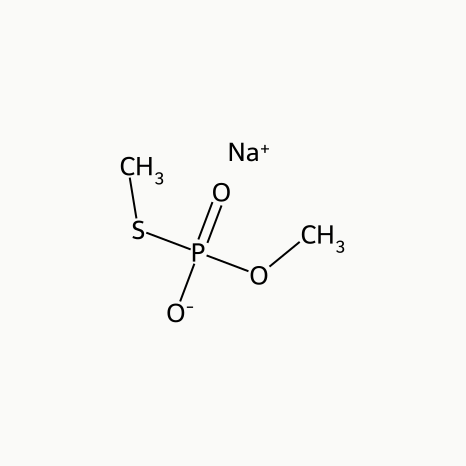 COP(=O)([O-])SC.[Na+]